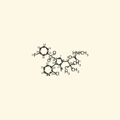 CNC(=O)OC(c1cn(S(=O)(=O)c2cccc(F)c2)c(-c2cccnc2Cl)c1F)C(C)(C)C